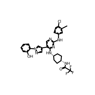 Cc1cc(Nc2ncc(-c3cnn(-c4ccccc4O)c3)c(N[C@H]3CC[C@@H](NC(=O)C(F)(F)F)CC3)n2)ccc1Cl